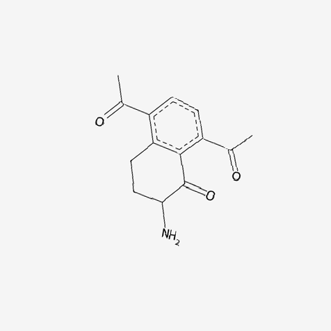 CC(=O)c1ccc(C(C)=O)c2c1CCC(N)C2=O